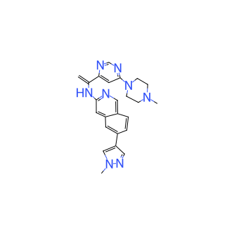 C=C(Nc1cc2cc(-c3cnn(C)c3)ccc2cn1)c1cc(N2CCN(C)CC2)ncn1